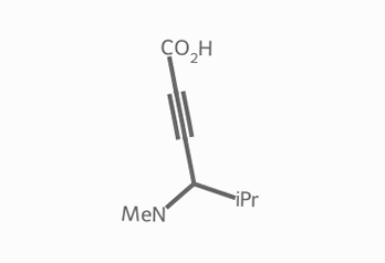 CNC(C#CC(=O)O)C(C)C